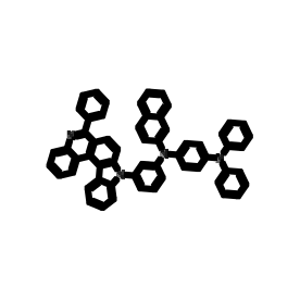 c1ccc(-c2nc3ccccc3c3c2ccc2c3c3ccccc3n2-c2cccc(N(c3ccc(N(c4ccccc4)c4ccccc4)cc3)c3ccc4ccccc4c3)c2)cc1